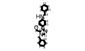 O=CC1N(Cc2ccccc2)C=NN1c1ccc(NCc2ccccc2)cc1